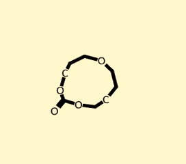 O=C1OCCCCOCCCO1